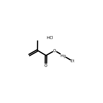 C=C(C)C(=O)[O][Hg][CH2]C.Cl